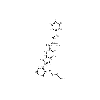 COCCOc1ccccc1-n1cc2ccc(NC(=O)NCc3ccncc3)cc2n1